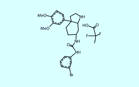 COc1ccc(C23CCNC2CC(NC(=O)Nc2cccc(Br)c2)CC3)cc1OC.O=C(O)C(F)(F)F